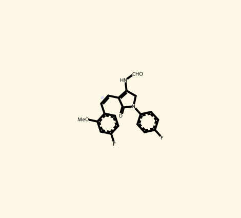 COc1cc(F)ccc1/C=C\C1=C(NC=O)CN(c2ccc(F)cc2)C1=O